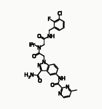 Cc1ccnc(C(=O)Nc2ccc3c(c2)c(C(N)=O)nn3CC(=O)N(CC(=O)NCc2cccc(Cl)c2F)C(C)C)n1